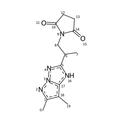 Cc1nn2nc(C(C)CN3C(=O)CCC3=O)[nH]c2c1C